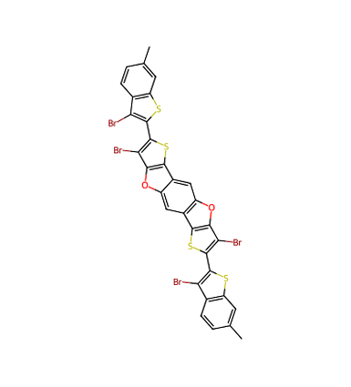 Cc1ccc2c(Br)c(-c3sc4c(oc5cc6c(cc54)oc4c(Br)c(-c5sc7cc(C)ccc7c5Br)sc46)c3Br)sc2c1